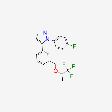 C[C@@H](OCc1cccc(-c2c[c]nn2-c2ccc(F)cc2)c1)C(F)(F)F